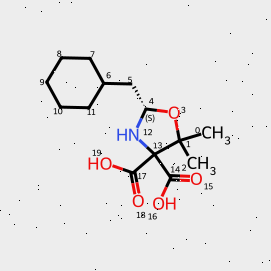 CC1(C)O[C@@H](CC2CCCCC2)NC1(C(=O)O)C(=O)O